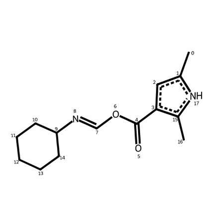 Cc1cc(C(=O)OC=NC2CCCCC2)c(C)[nH]1